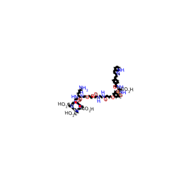 Cc1cc(OCCCC(=O)NCCNC(=O)COCCOCCNC(=O)[C@H](CCCCN)NC(=O)CN2CCN(CC(=O)O)CCN(CC(=O)O)CCN(CC(=O)O)CC2)cc(C)c1S(=O)(=O)NC(CNC(=O)c1ccc(CCc2ccc3c(n2)NCCC3)cc1)C(=O)O